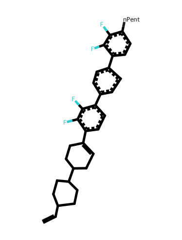 C=CC1CCC(C2CC=C(c3ccc(-c4ccc(-c5ccc(CCCCC)c(F)c5F)cc4)c(F)c3F)CC2)CC1